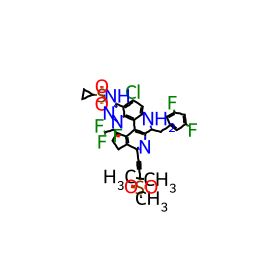 CC(C)(C#Cc1nc([C@@H](N)Cc2cc(F)cc(F)c2)c(-c2ccc(Cl)c3c(NS(=O)(=O)C4CC4)nn(C(F)C(F)F)c23)c2c1CCC2)S(C)(=O)=O